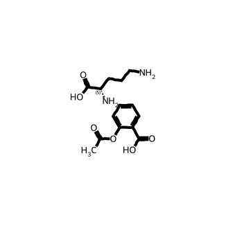 CC(=O)Oc1ccccc1C(=O)O.NCCC[C@H](N)C(=O)O